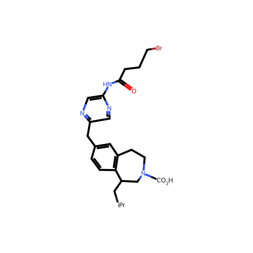 CC(C)CC1CN(C(=O)O)CCc2cc(Cc3cnc(NC(=O)CCCBr)cn3)ccc21